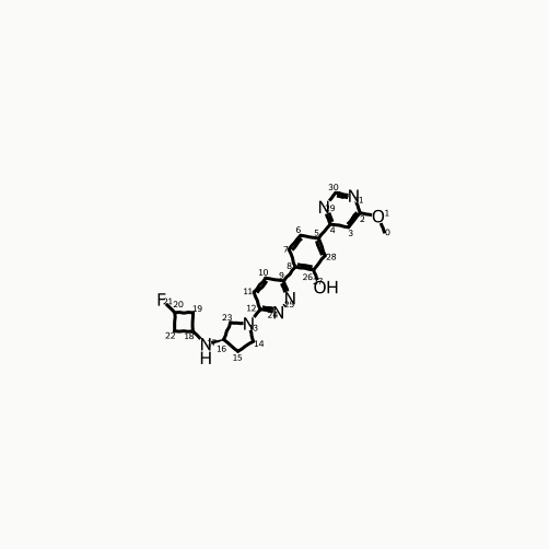 COc1cc(-c2ccc(-c3ccc(N4CC[C@@H](NC5CC(F)C5)C4)nn3)c(O)c2)ncn1